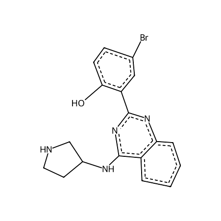 Oc1ccc(Br)cc1-c1nc(NC2CCNC2)c2ccccc2n1